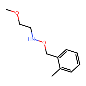 COCCNOCc1ccccc1C